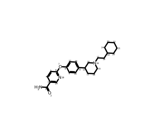 NC(=O)c1ccc(Oc2ccc(C3CCCN(CCC4CCCCC4)C3)cc2)nc1